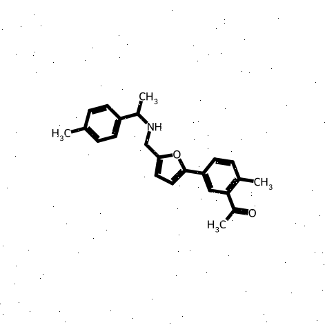 CC(=O)c1cc(-c2ccc(CNC(C)c3ccc(C)cc3)o2)ccc1C